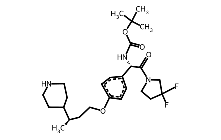 C[C@H](CCOc1ccc([C@H](NC(=O)OC(C)(C)C)C(=O)N2CCC(F)(F)C2)cc1)C1CCNCC1